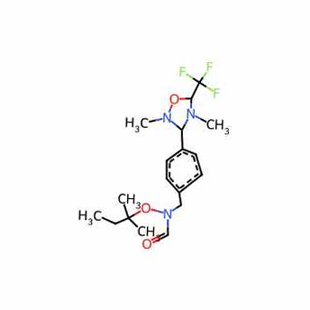 CCC(C)(C)ON(C=O)Cc1ccc(C2N(C)OC(C(F)(F)F)N2C)cc1